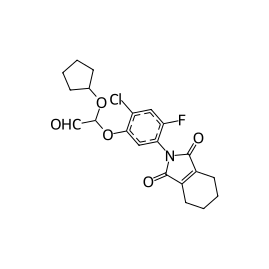 O=CC(Oc1cc(N2C(=O)C3=C(CCCC3)C2=O)c(F)cc1Cl)OC1CCCC1